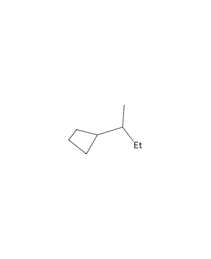 CCC(C)C1CCC1